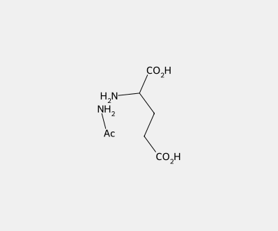 CC(N)=O.NC(CCC(=O)O)C(=O)O